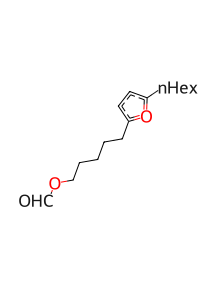 CCCCCCc1ccc(CCCCCOC=O)o1